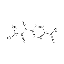 CCC(C(=O)N(C)C)c1ccc(C(=O)Cl)cc1